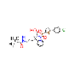 CC(C)C(=O)NCCCC1(c2ccccc2)CC1(NS(=O)(=O)C1=CCC(c2ccc(Cl)cc2)S1)C(=O)O